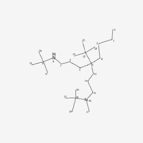 CCCCC(CCCNC(C)(C)C)(CCCN(C)C(C)(C)C)C(C)(C)C